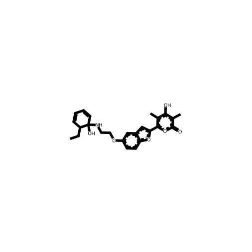 CCC1C=CC=CC1(O)NCCOc1ccc2oc(-c3oc(=O)c(C)c(O)c3C)cc2c1